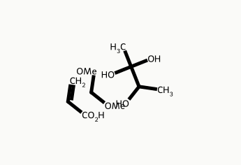 C=CC(=O)O.CC(O)C(C)(O)O.COCOC